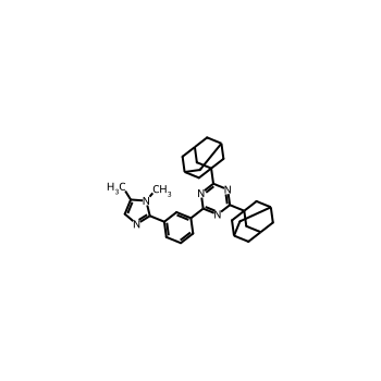 Cc1cnc(-c2cccc(-c3nc(C45CC6CC(CC(C6)C4)C5)nc(C45CC6CC(CC(C6)C4)C5)n3)c2)n1C